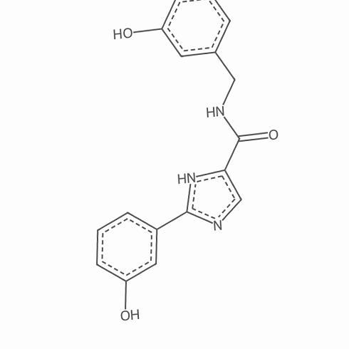 O=C(NCc1cccc(O)c1)c1cnc(-c2cccc(O)c2)[nH]1